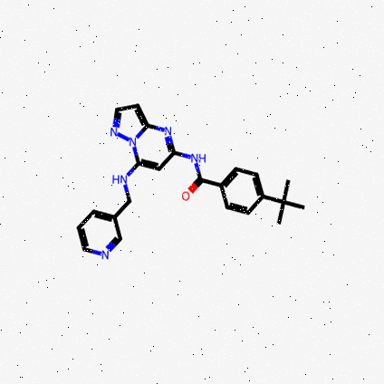 CC(C)(C)c1ccc(C(=O)Nc2cc(NCc3cccnc3)n3nccc3n2)cc1